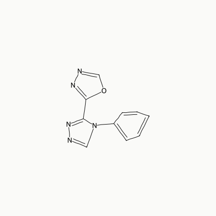 c1ccc(-n2cnnc2-c2nnco2)cc1